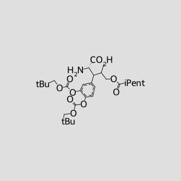 CCCC(C)C(=O)OCC(C)C(c1ccc(OC(=O)OCC(C)(C)C)c(OC(=O)OCC(C)(C)C)c1)[C@H](N)C(=O)O